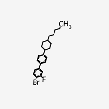 CCCCCC1CCC(c2ccc(-c3ccc(Br)c(F)c3)cc2)CC1